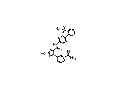 N=C(N)c1cccc(-c2nc(O)sc2C(=O)Nc2ccc(-c3ccccc3S(N)(=O)=O)cn2)c1